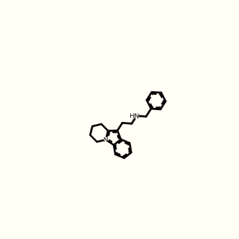 c1ccc(CNCCc2c3n(c4ccccc24)CCCC3)cc1